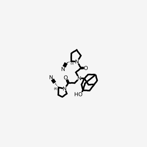 N#C[C@@H]1CCCN1C(=O)CN(CC(=O)N1CCC[C@@H]1C#N)C12CC3CC(CC(O)(C3)C1)C2